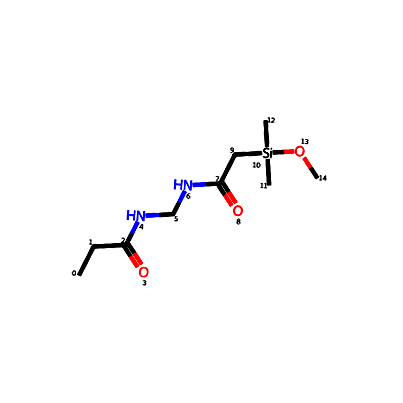 CCC(=O)NCNC(=O)C[Si](C)(C)OC